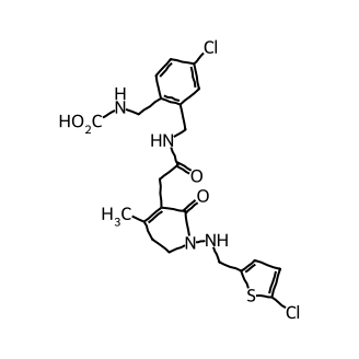 CC1=C(CC(=O)NCc2cc(Cl)ccc2CNC(=O)O)C(=O)N(NCc2ccc(Cl)s2)CC1